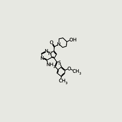 COc1cc(C)cc2cc(-c3cc(C(=O)N4CCC(O)CC4)n4ncnc(N)c34)sc12